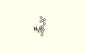 CC1(C)C2=CCC(c3cccc(-c4c5ccccc5c(-c5ccccc5)c5ccccc45)c3)C=C2c2ccc3cc4c(cc3c21)sc1ccccc14